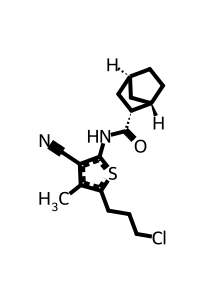 Cc1c(CCCCl)sc(NC(=O)[C@@H]2C[C@H]3CC[C@H]2C3)c1C#N